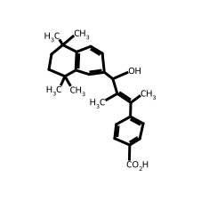 C/C(=C(/C)C(O)c1ccc2c(c1)C(C)(C)CCC2(C)C)c1ccc(C(=O)O)cc1